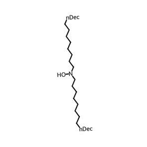 CCCCCCCCCCCCCCCCCCN(O)CCCCCCCCCCCCCCCCCC